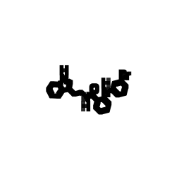 O=C(NCCc1c[nH]c2ccccc12)c1ccccc1Nc1cccc(Br)c1